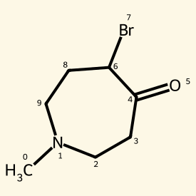 CN1CCC(=O)C(Br)CC1